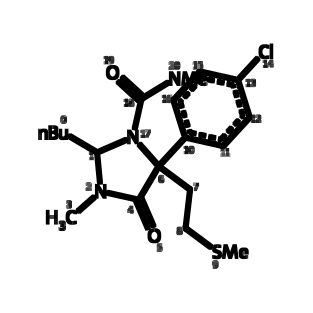 CCCCC1N(C)C(=O)C(CCSC)(c2ccc(Cl)cc2)N1C(=O)NC